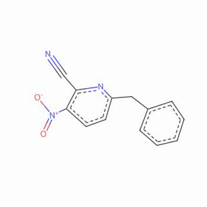 N#Cc1nc(Cc2ccccc2)ccc1[N+](=O)[O-]